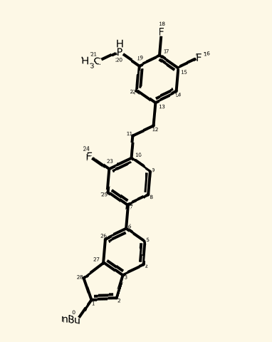 CCCCC1=Cc2ccc(-c3ccc(CCc4cc(F)c(F)c(PC)c4)c(F)c3)cc2C1